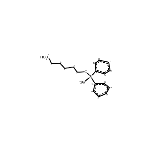 CC(C)(C)[Si](OCCCCCC(=O)O)(c1ccccc1)c1ccccc1